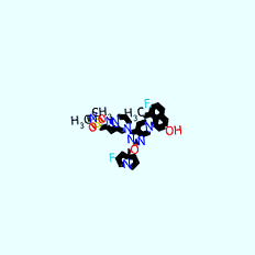 CCc1c(F)ccc2cc(O)cc(N3CCc4c(nc(OC[C@@]56CCCN5C[C@H](F)C6)nc4N4CCCn5nc(CS(=O)(=O)N(C)C)cc5C4)C3)c12